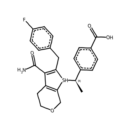 C[C@H](c1ccc(C(=O)O)cc1)[SH]1C2=C(CCOC2)C(C(N)=O)=C1Cc1ccc(F)cc1